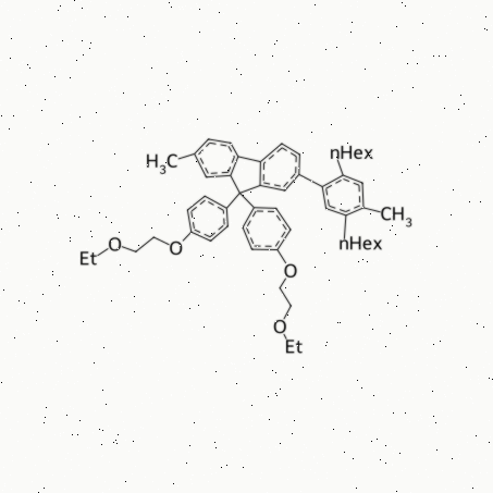 CCCCCCc1cc(-c2ccc3c(c2)C(c2ccc(OCCOCC)cc2)(c2ccc(OCCOCC)cc2)c2cc(C)ccc2-3)c(CCCCCC)cc1C